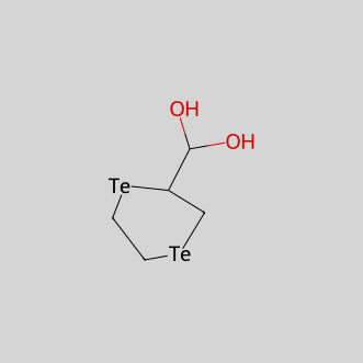 OC(O)C1C[Te]CC[Te]1